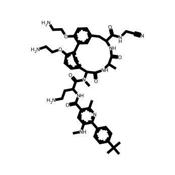 CNc1cc(C(=O)NC(CCN)C(=O)N(C)C2C(=O)NC(C)C(=O)NC(C(=O)NCC#N)Cc3ccc(OCCN)c(c3)-c3cc2ccc3OCCN)c(C)nc1-c1ccc(C(C)(C)C)cc1